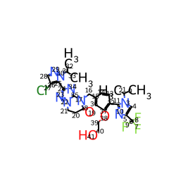 CC(C)n1cc(C(F)(F)F)nc1-c1ccc(CN2C(=O)CCn3nc(-c4c(Cl)cnn4C(C)C)nc32)cc1OCCO